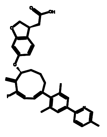 C=C1/C(F)=C\C=C(\c2c(C)cc(-c3ccc(C)cn3)cc2C)CCC[C@H]1Oc1ccc2c(c1)OC[C@H]2CC(=O)O